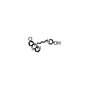 OC1CCN(CCCCCN2c3cc(Cl)ccc3Sc3cccnc32)CC1